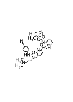 CN(C)CCCN(Cc1ccc(C(=O)Nc2ccccc2NC(=O)OC(C)(C)C)nc1)C(=O)Nc1ccc(C#N)cc1